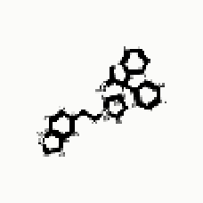 CC(=O)C(c1ccccc1)(c1ccccc1)[C@@H]1CCN(CCc2ccc3c(c2)CCO3)C1